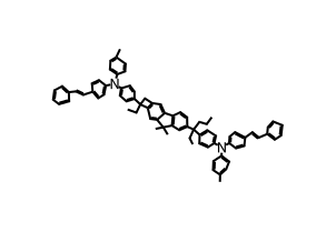 CCCC(CC)(c1ccc(N(c2ccc(C)cc2)c2ccc(/C=C/c3ccccc3)cc2)cc1)c1ccc2c(c1)C(C)(C)c1cc3c(cc1-2)CC3(CC)c1ccc(N(c2ccc(C)cc2)c2ccc(/C=C/c3ccccc3)cc2)cc1